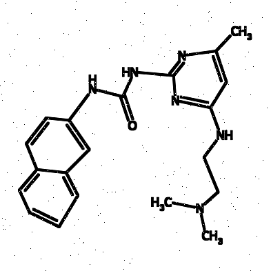 Cc1cc(NCCN(C)C)nc(NC(=O)Nc2ccc3ccccc3c2)n1